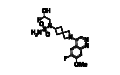 COc1cc2nncc(N3CC4(CC(N(CC(O)F)S(N)(=O)=O)C4)C3)c2cc1F